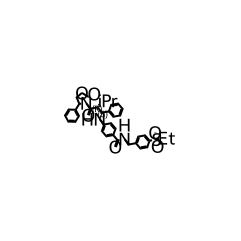 CCS(=O)(=O)c1ccc(CNC(=O)c2ccc(N[C@H](c3ccccc3)[C@H](C(=O)N3C(=O)OCC3c3ccccc3)C(C)C)cc2)cc1